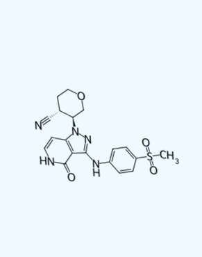 CS(=O)(=O)c1ccc(Nc2nn([C@@H]3COCC[C@H]3C#N)c3cc[nH]c(=O)c23)cc1